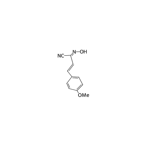 COc1ccc(/C=C/C(C#N)=N\O)cc1